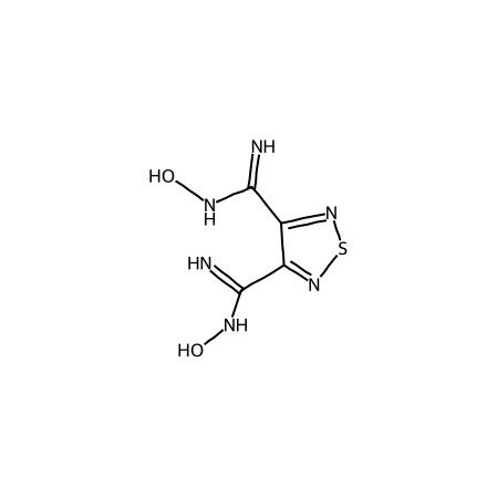 N=C(NO)c1nsnc1C(=N)NO